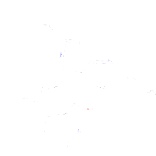 COc1ccc(C(NC(C)=O)c2cc(Cl)c3cccnc3c2O)cn1